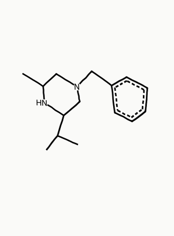 CC1CN(Cc2ccccc2)CC(C(C)C)N1